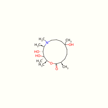 C[C@@H]1CCCC(C)(O)CCCN(C)[C@H](C)[C@@H](O)[C@](C)(O)[C@H](C)OC1=O